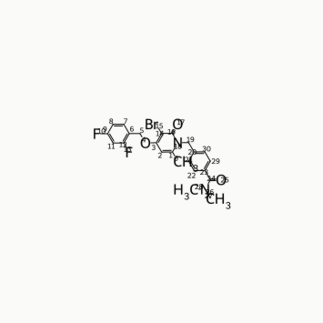 Cc1cc(OCc2ccc(F)cc2F)c(Br)c(=O)n1Cc1ccc(C(=O)N(C)C)cc1